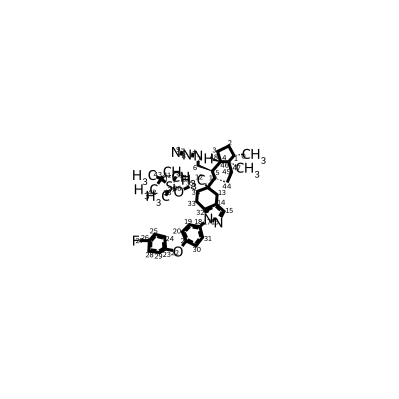 C[C@H]1CC[C@H]2[C@H](CN=[N+]=[N-])[C@@H]([C@@]3(C)Cc4cnn(-c5ccc(Oc6ccc(F)cc6)cc5)c4C[C@@H]3CO[Si](C)(C)C(C)(C)C)CC[C@]12C